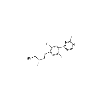 Cc1nccc(-c2cc(F)c(OC[C@H](C)CC(C)C)cc2F)n1